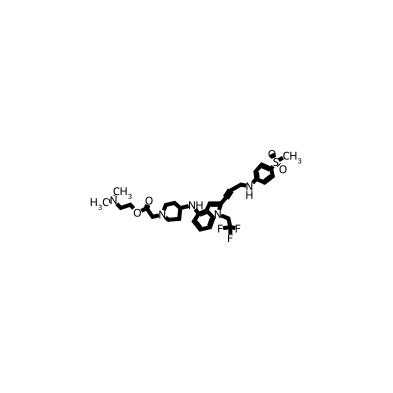 CN(C)CCOC(=O)CN1CCC(Nc2cccc3c2cc(C#CCNc2ccc(S(C)(=O)=O)cc2)n3CC(F)(F)F)CC1